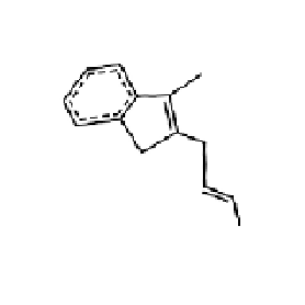 C/C=C/CC1=C(C)c2ccccc2C1